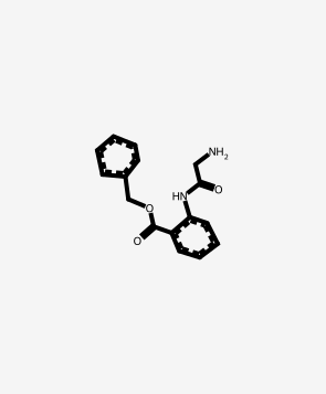 NCC(=O)Nc1ccccc1C(=O)OCc1ccccc1